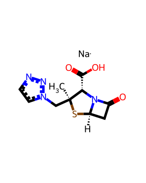 C[C@@]1(Cn2ccnn2)S[C@@H]2CC(=O)N2[C@H]1C(=O)O.[Na]